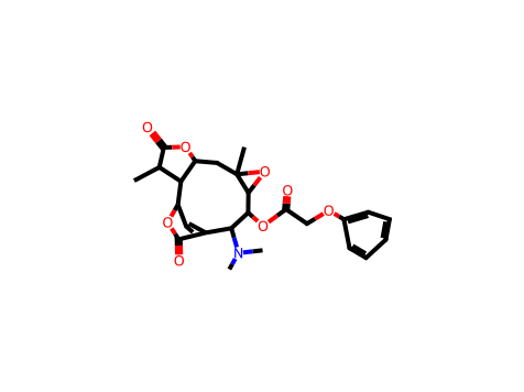 CC1C(=O)OC2CC3(C)OC3C(OC(=O)COc3ccccc3)C(N(C)C)C3=CC(OC3=O)C21